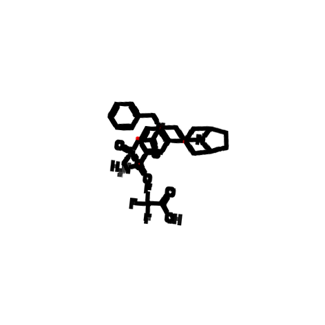 CS(=O)(=O)CC(=O)N(CCN1C2CCC1CC(c1cccc(C(N)=O)c1)C2)Cc1ccccc1.O=C(O)C(F)(F)F